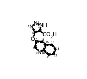 O=C(O)c1[nH]nnc1Oc1cnc2ccccc2c1